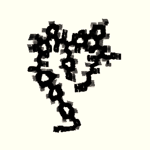 CCCCCOc1ccc(-c2ccc(-c3ccc(C(=O)NCC(=O)NC(CC)C(=O)N4CCCC4C(=O)NC(CCc4ccc(O)cc4)C(=O)NC(CC)C(=O)N4C[C@H](C)CC4C(=O)NC(NCCNCCO)[C@@H](C)O)cc3)cc2)cc1